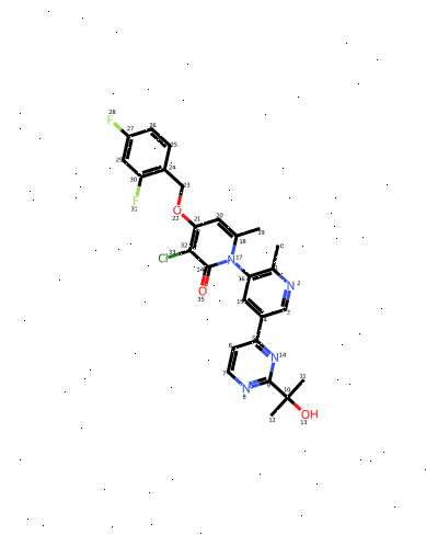 Cc1ncc(-c2ccnc(C(C)(C)O)n2)cc1-n1c(C)cc(OCc2ccc(F)cc2F)c(Cl)c1=O